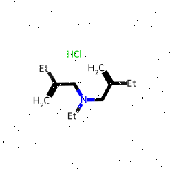 C=C(CC)CN(CC)CC(=C)CC.Cl